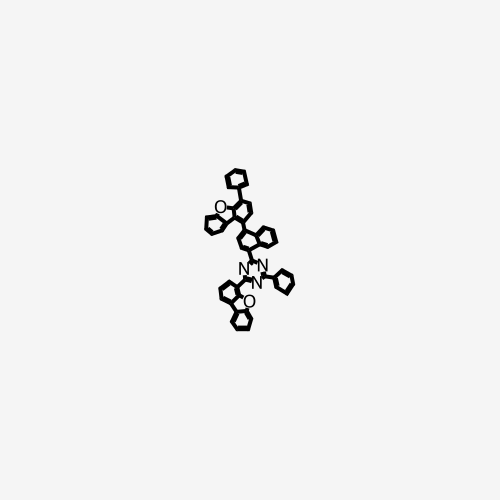 c1ccc(-c2nc(-c3ccc(-c4ccc(-c5ccccc5)c5oc6ccccc6c45)c4ccccc34)nc(-c3cccc4c3oc3ccccc34)n2)cc1